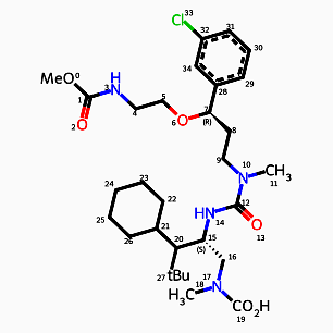 COC(=O)NCCO[C@H](CCN(C)C(=O)N[C@H](CN(C)C(=O)O)C(C1CCCCC1)C(C)(C)C)c1cccc(Cl)c1